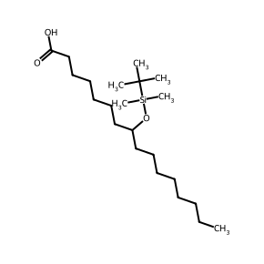 CCCCCCCCC(CCCCCCC(=O)O)O[Si](C)(C)C(C)(C)C